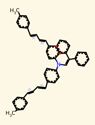 Cc1ccc(/C=C/C=C/c2ccc(N(C=C(c3ccccc3)c3ccccc3)c3ccc(/C=C/C=C/c4ccc(C)cc4)cc3)cc2)cc1